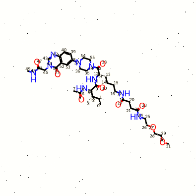 CC[C@H](C)[C@H](NC(C)=O)C(=O)N[C@@H](CCCCNC(=O)CCC(=O)NCCOCCOC)C(=O)N1CCN(c2ccc3ncn(CC(=O)NC)c(=O)c3c2)CC1